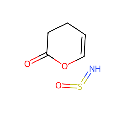 N=S=O.O=C1CCC=CO1